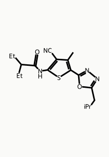 CCC(CC)C(=O)Nc1sc(-c2nnc(CC(C)C)o2)c(C)c1C#N